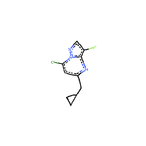 Fc1cnn2c(Cl)cc(CC3CC3)nc12